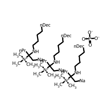 CCCCCCCCCCCCCCNC([CH2][Na])(CCC)[N+](C)(C)C.CCCCCCCCCCCCCCNC([CH2][Na])(CCC)[N+](C)(C)C.CCCCCCCCCCCCCCNC([CH2][Na])(CCC)[N+](C)(C)C.O=P([O-])([O-])[O-]